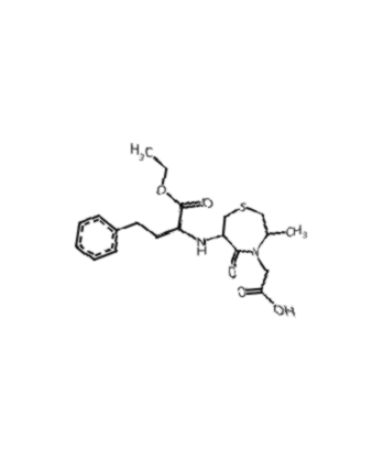 CCOC(=O)C(CCc1ccccc1)NC1CSCC(C)N(CC(=O)O)C1=O